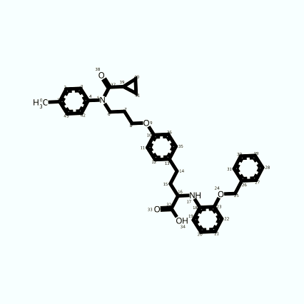 Cc1ccc(N(CCCOc2ccc(CCC(Nc3ccccc3OCc3ccccc3)C(=O)O)cc2)C(=O)C2CC2)cc1